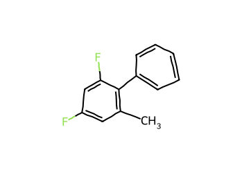 Cc1cc(F)cc(F)c1-c1ccccc1